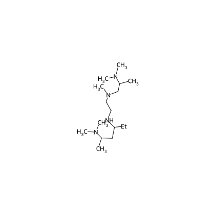 CCC(CC(C)N(C)C)NCCN(C)CC(C)N(C)C